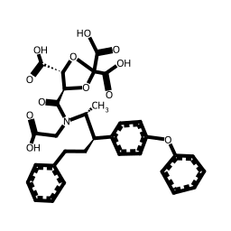 C[C@H]([C@H](CCc1ccccc1)c1ccc(Oc2ccccc2)cc1)N(CC(=O)O)C(=O)[C@@H]1OC(C(=O)O)(C(=O)O)O[C@H]1C(=O)O